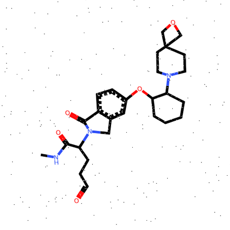 CNC(=O)C(CCC=O)N1Cc2cc(OC3CCCCC3N3CCC4(CC3)COC4)ccc2C1=O